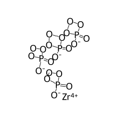 O=P1([O-])OOO1.O=P1([O-])OOO1.O=P1([O-])OOO1.O=P1([O-])OOO1.[Zr+4]